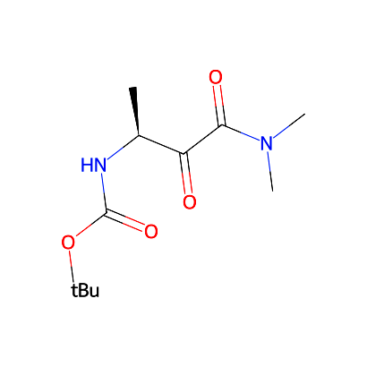 C[C@H](NC(=O)OC(C)(C)C)C(=O)C(=O)N(C)C